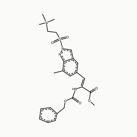 COC(=O)/C(=C/c1cc(C)c2nn(S(=O)(=O)CC[Si](C)(C)C)cc2c1)NC(=O)OCc1ccccc1